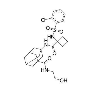 O=C(NCCO)C12CC3CC(CC(NC(=O)C4(NS(=O)(=O)c5ccccc5Cl)CCC4)(C3)C1)C2